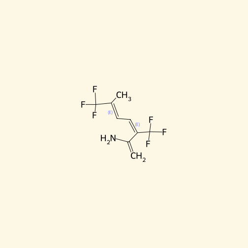 C=C(N)/C(=C\C=C(/C)C(F)(F)F)C(F)(F)F